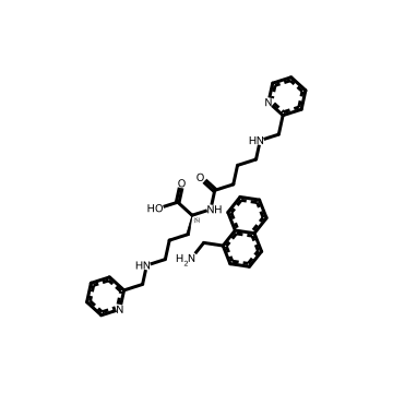 NCc1cccc2ccccc12.O=C(CCCNCc1ccccn1)N[C@@H](CCCNCc1ccccn1)C(=O)O